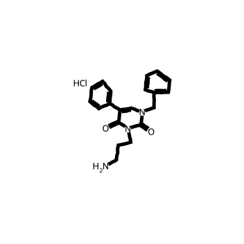 Cl.NCCCn1c(=O)c(-c2ccccc2)cn(Cc2ccccc2)c1=O